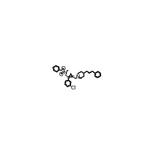 CN(C[C@@]1(c2cccc(Cl)c2)C[C@H]1CN1CCC(CCCc2ccccc2)CC1)S(=O)(=O)c1ccccc1